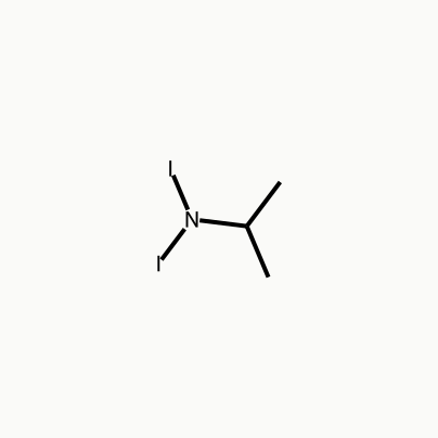 CC(C)N(I)I